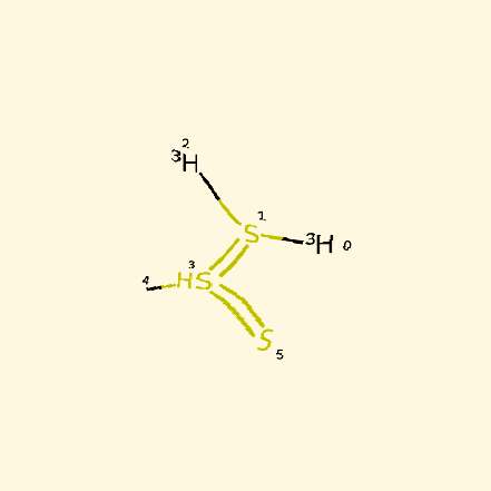 [3H]S([3H])=[SH](C)=S